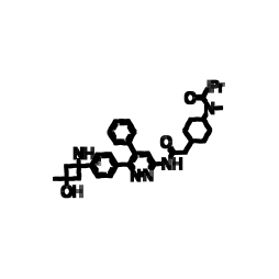 CC(C)C(=O)N(C)C1CCC(CC(=O)Nc2cc(-c3ccccc3)c(-c3ccc(C4(N)CC(C)(O)C4)cc3)nn2)CC1